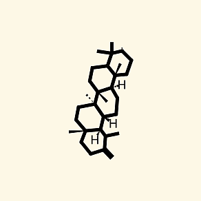 C=C1CC[C@]2(C)CC[C@]3(C)[C@H](CC[C@@H]4[C@@]5(C)CC[CH]C(C)(C)C5CC[C@]43C)[C@H]2C1C